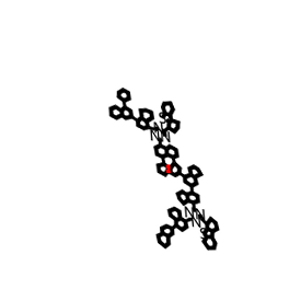 c1ccc(-c2cc(-c3ccc(-c4nc(-c5ccc(-c6ccccc6)c6c(-c7cccc(-c8cc(-c9ccc(-c%10nc(-c%11ccc(-c%12ccc%13ccccc%13c%12)c%12ccccc%11%12)nc(-c%11cccc%12c%11sc%11ccccc%11%12)n%10)c%10ccccc9%10)cc9ccccc89)c7)cccc56)nc(-c5cccc6c5sc5ccccc56)n4)c4ccccc34)cc3ccccc23)cc1